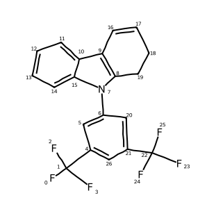 FC(F)(F)c1cc(-n2c3c(c4ccccc42)C=CCC3)cc(C(F)(F)F)c1